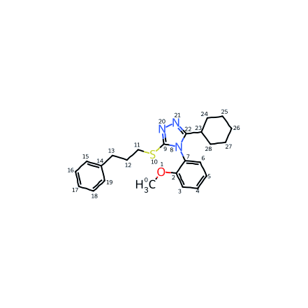 COc1ccccc1-n1c(SCCCc2ccccc2)nnc1C1CCCCC1